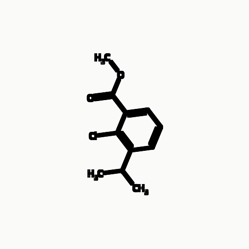 COC(=O)c1cccc([C](C)C)c1Cl